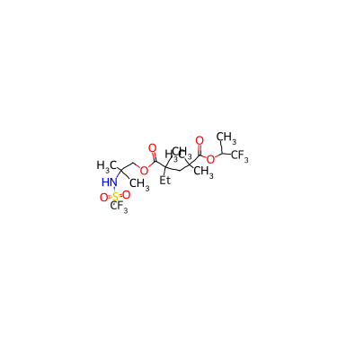 CCC(C)(CC(C)(C)C(=O)OC(C)C(F)(F)F)C(=O)OCC(C)(C)NS(=O)(=O)C(F)(F)F